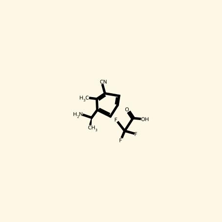 Cc1c(C#N)cccc1[C@@H](C)N.O=C(O)C(F)(F)F